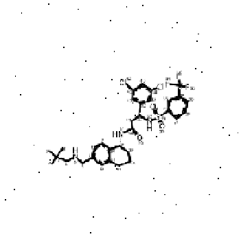 CC(C)(C)CNCc1ccc2c(c1)CCC[C@H]2NC(=O)CC(NS(=O)(=O)c1cccc(C(F)(F)F)c1)c1cc(Cl)cc(Cl)c1